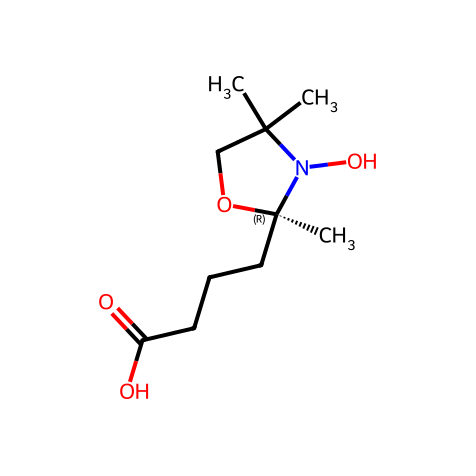 CC1(C)CO[C@](C)(CCCC(=O)O)N1O